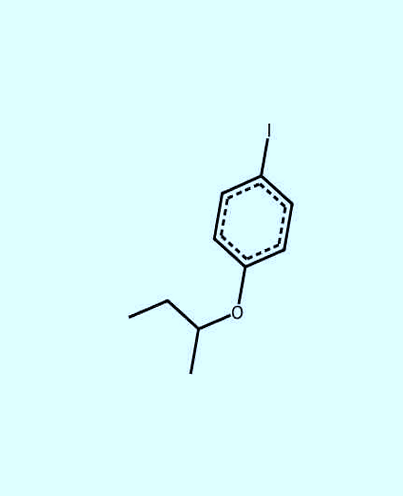 CCC(C)Oc1ccc(I)cc1